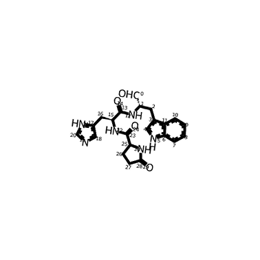 O=C[C@H](Cc1c[nH]c2ccccc12)NC(=O)[C@H](Cc1cnc[nH]1)NC(=O)C1CCC(=O)N1